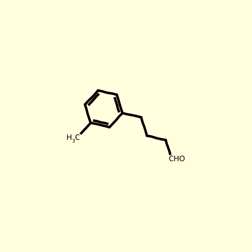 Cc1cccc(CCCC=O)c1